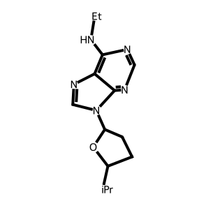 CCNc1ncnc2c1ncn2C1CCC(C(C)C)O1